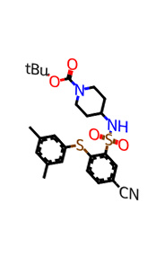 Cc1cc(C)cc(Sc2ccc(C#N)cc2S(=O)(=O)NC2CCN(C(=O)OC(C)(C)C)CC2)c1